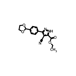 CCOC(=O)c1[nH]nc(-c2ccc(C3OCCO3)cc2)c1C#N